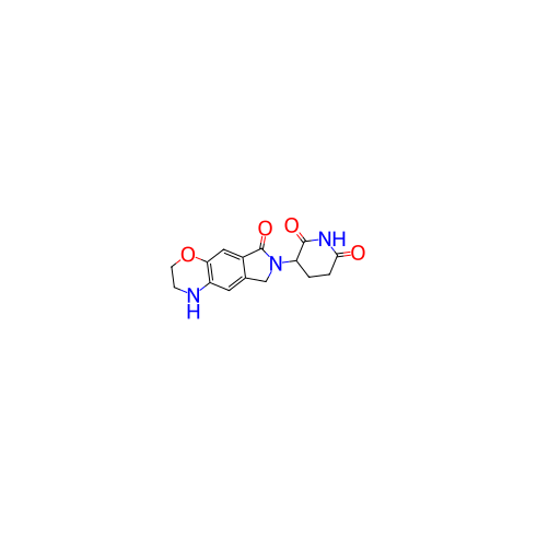 O=C1CCC(N2Cc3cc4c(cc3C2=O)OCCN4)C(=O)N1